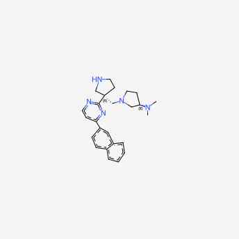 CN(C)[C@@H]1CCN(C[C@@]2(c3nccc(-c4ccc5ccccc5c4)n3)CCNC2)C1